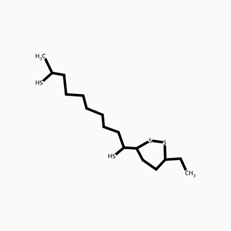 CCC1CCC(C(S)CCCCCCCC(C)S)SS1